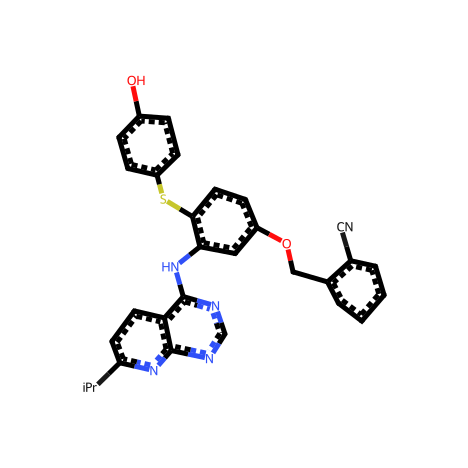 CC(C)c1ccc2c(Nc3cc(OCc4ccccc4C#N)ccc3Sc3ccc(O)cc3)ncnc2n1